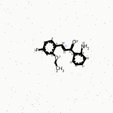 CCOc1cc(F)ccc1/C=C/C(=O)c1ccccc1N